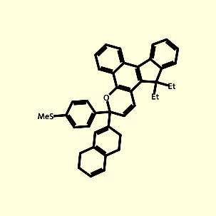 CCC1(CC)c2ccccc2-c2c1c1c(c3ccccc23)OC(C2=CC3=C(C=CCC3)CC2)(c2ccc(SC)cc2)C=C1